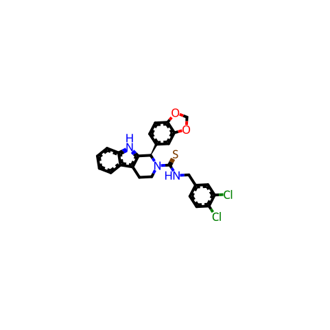 S=C(NCc1ccc(Cl)c(Cl)c1)N1CCc2c([nH]c3ccccc23)[C@H]1c1ccc2c(c1)OCO2